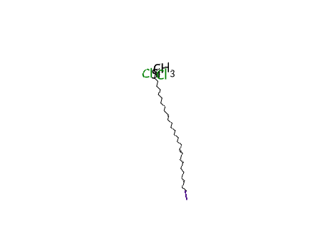 C[Si](Cl)(Cl)CCCCCCCCCCCCCCCCCCCCCCCCCCCCI